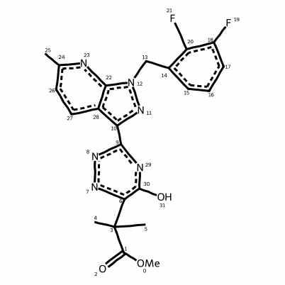 COC(=O)C(C)(C)c1nnc(-c2nn(Cc3cccc(F)c3F)c3nc(C)ccc23)nc1O